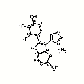 Nc1cscc1C1=C(c2ccc(O)c(F)c2F)Cc2ccc(O)cc21